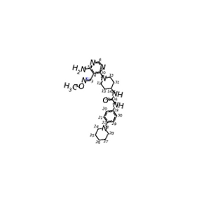 CO/N=C/c1c(N)ncnc1N1CCC(NC(=O)Nc2ccc(N3CCCCC3)cc2)CC1